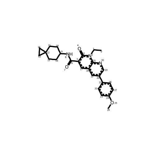 CCn1c(=O)c(C(=O)NC2CCC3(CC2)CC3)cc2cc(-c3ccc(OC)cc3)cnc21